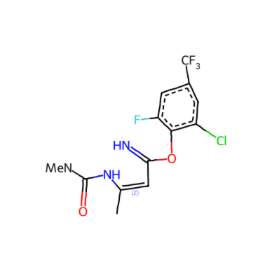 CNC(=O)N/C(C)=C\C(=N)Oc1c(F)cc(C(F)(F)F)cc1Cl